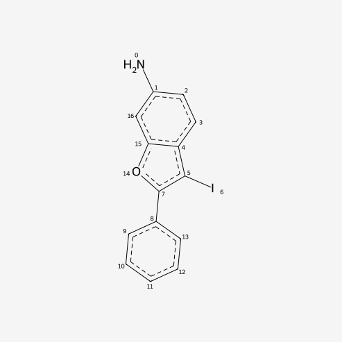 Nc1ccc2c(I)c(-c3ccccc3)oc2c1